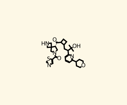 CC(C)(O)C(CC1CCC1C(=O)[C@@H]1CN(C(=O)c2cncs2)CC12CNC2)c1cccc(C2CCOCC2)n1